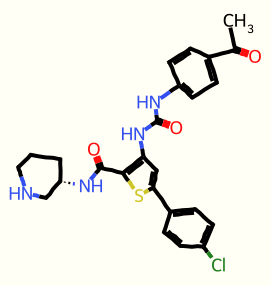 CC(=O)c1ccc(NC(=O)Nc2cc(-c3ccc(Cl)cc3)sc2C(=O)N[C@H]2CCCNC2)cc1